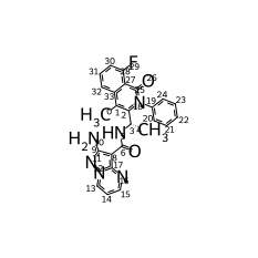 Cc1c([C@H](C)NC(=O)c2c(N)nn3cccnc23)n(-c2ccccc2)c(=O)c2c(F)cccc12